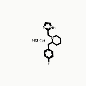 Cl.Cl.Fc1ccc(CC2CCCCN2Cc2ncc[nH]2)cc1